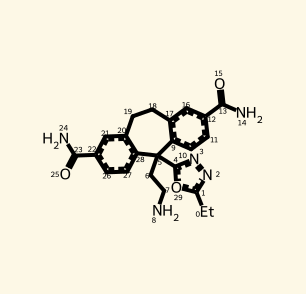 CCc1nnc(C2(CCN)c3ccc(C(N)=O)cc3CCc3cc(C(N)=O)ccc32)o1